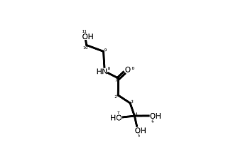 O=C(CCC(O)(O)O)NCCO